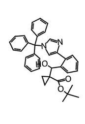 CC(C)(C)OC(=O)C1(C(O)c2ccccc2-c2cn(C(c3ccccc3)(c3ccccc3)c3ccccc3)cn2)CC1